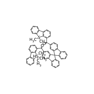 CS1(C)c2ccccc2-c2cccc(C(=O)c3ccc4c(c3)C3(c5ccccc5-4)c4ccccc4-c4ccc(C(=O)c5cccc6c5[SH](C)(C)(C)c5ccccc5-6)cc43)c21